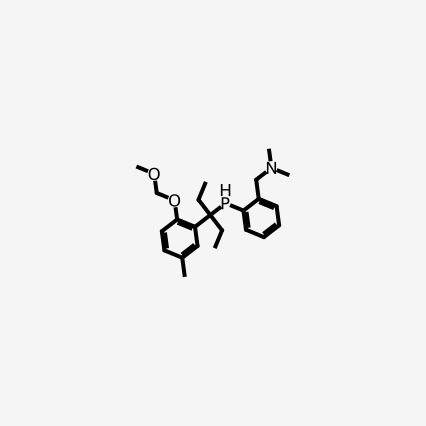 CCC(CC)(Pc1ccccc1CN(C)C)c1cc(C)ccc1OCOC